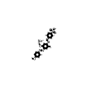 COc1ccc(N=Nc2cc(C)c(N=Nc3ccc(S(=O)(=O)[O-])cc3)cc2OC)cc1.[Na+]